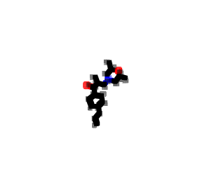 C=CCc1ccc(C(=O)C(C)CN2CC(C)OC(C)C2)cc1